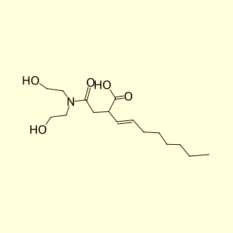 CCCCCCC=CC(CC(=O)N(CCO)CCO)C(=O)O